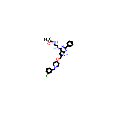 CC(=O)NCCNc1nc(-c2ccccc2)nc2[nH]c(COC3CCN(Cc4cccc(Cl)c4)CC3)cc12